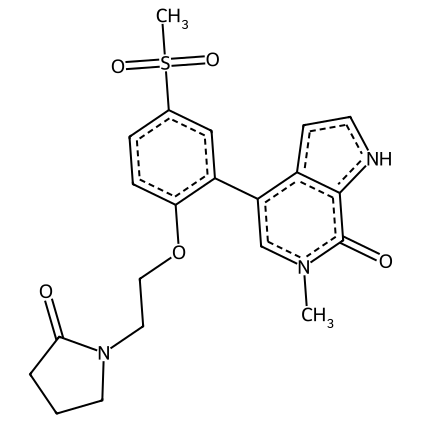 Cn1cc(-c2cc(S(C)(=O)=O)ccc2OCCN2CCCC2=O)c2cc[nH]c2c1=O